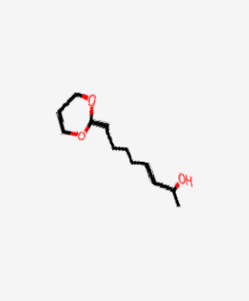 CC(O)CCCCCCC1OCCCO1